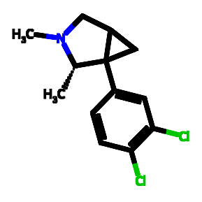 C[C@@H]1N(C)CC2CC21c1ccc(Cl)c(Cl)c1